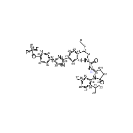 CCC(CNC(=O)/N=C1\SCC(=O)N1c1cc(C)ccc1C(C)C)c1ccc(-c2ncn(-c3ccc(OC(F)(F)F)cc3)n2)cc1